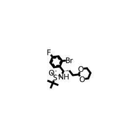 CC(C)(C)[S@@+]([O-])N[C@@H](CCC1OCCCO1)c1ccc(F)cc1Br